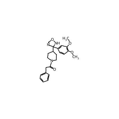 COc1ccc(C2(C3CCN(C(=O)Cc4ccccc4)CC3)N=CON2)cc1OC